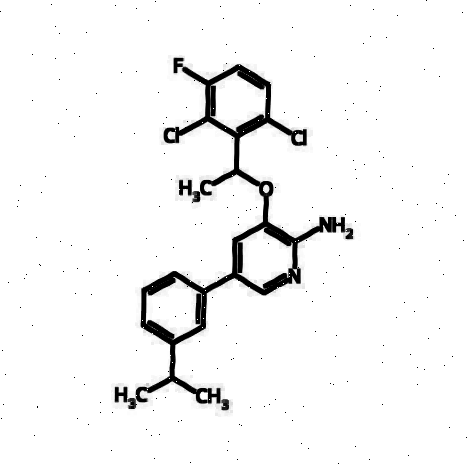 CC(C)c1cccc(-c2cnc(N)c(OC(C)c3c(Cl)ccc(F)c3Cl)c2)c1